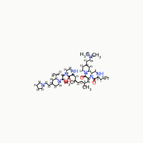 CC(C)C[C@@H]1NCCN([C@@H](CC(C)CCC(C)C[C@@H]2NCCN([C@@H](CC(C)C)C(=O)N3CCC(CCN4CCCC4)CC3)C2=O)C(=O)N2CCC(CCN(C)C)CC2)C1=O